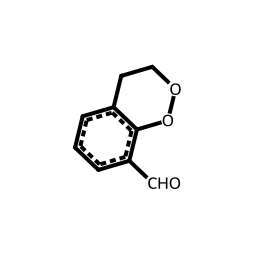 O=Cc1cccc2c1OOCC2